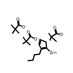 CC(C)(C)C(=O)[O-].CC(C)(C)C(=O)[O-].CC(C)(C)C(=O)[O-].CCCCC1=[C]([Zr+3])CC=C1